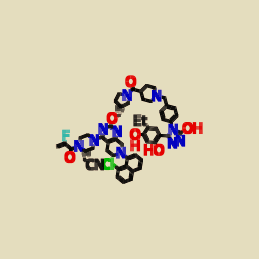 C=C(F)C(=O)N1CCN(c2nc(OC[C@@H]3CCN(C(=O)C4CCN(Cc5ccc(-n6c(O)nnc6-c6cc(CC)c(O)cc6O)cc5)CC4)C3)nc3c2CCN(c2cccc4cccc(Cl)c24)C3)C[C@@H]1CC#N